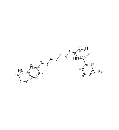 O=C(NC(CCCCCCCc1ccc2c(n1)NCCC2)C(=O)O)c1cccc(F)c1